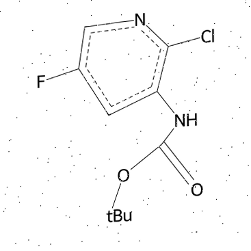 CC(C)(C)OC(=O)Nc1cc(F)cnc1Cl